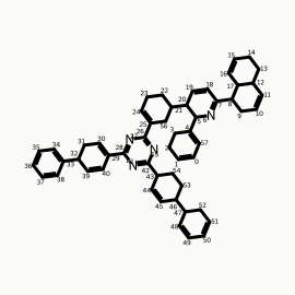 C1=CCCC(C2N=C(C3CC=CC4CCC=CC43)C=CC2C2CCC=C(c3nc(C4=CCC(c5ccccc5)C=C4)nc(C4C=CC(C5C=CC=CC5)CC4)n3)C2)=C1